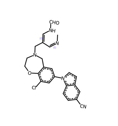 C/N=C\C(=C/NC=O)CN1CCOc2c(Cl)cc(-n3ccc4cc(C#N)ccc43)cc2C1